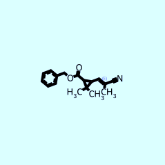 C/C(C#N)=C\C1C(C(=O)OCc2ccccc2)C1(C)C